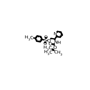 Cc1ccc(S(=O)(=O)OCC(NC(=O)OC(C)(C)C)c2ccccn2)cc1